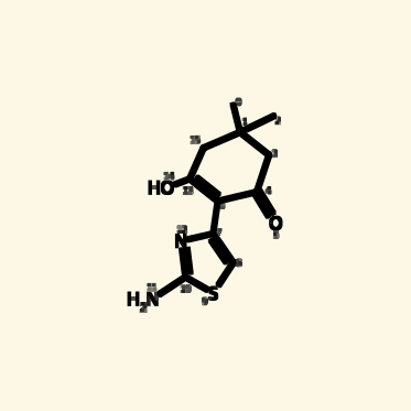 CC1(C)CC(=O)C(c2csc(N)n2)=C(O)C1